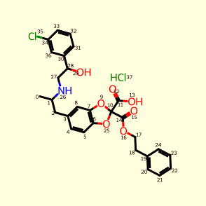 CC(Cc1ccc2c(c1)OC(C(=O)O)(C(=O)OCCc1ccccc1)O2)NCC(O)c1cccc(Cl)c1.Cl